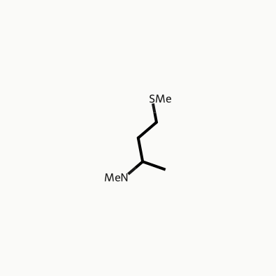 CNC(C)CCSC